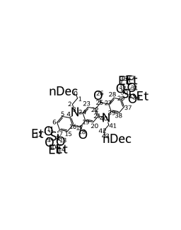 CCCCCCCCCCCCn1c2ccc([Si](OCC)(OCC)OCC)cc2c(=O)c2cc3c(cc21)c(=O)c1cc([Si](OCC)(OCC)OCC)ccc1n3CCCCCCCCCCCC